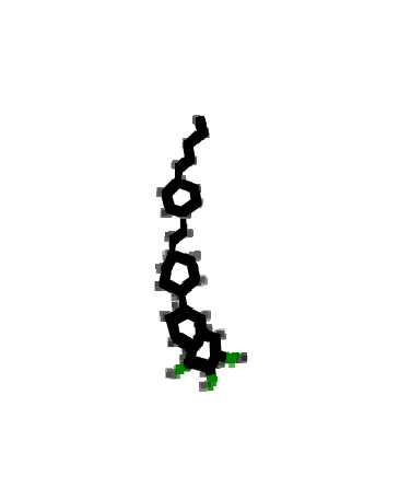 CCCCC[C@H]1CC[C@H](CC[C@H]2CC[C@H](c3ccc4c(F)c(F)c(F)cc4c3)CC2)CC1